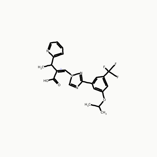 CC(C)Oc1cc(-c2ncn(/C=C(\C(=O)O)C(C)c3ccccn3)n2)cc(C(F)(F)F)c1